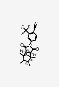 CC1[C@H](C)[C@]2(C)OC1(C)[C@H]1C(=O)N(c3ccc(C#N)c(C(F)(F)F)c3)C(=O)[C@H]12